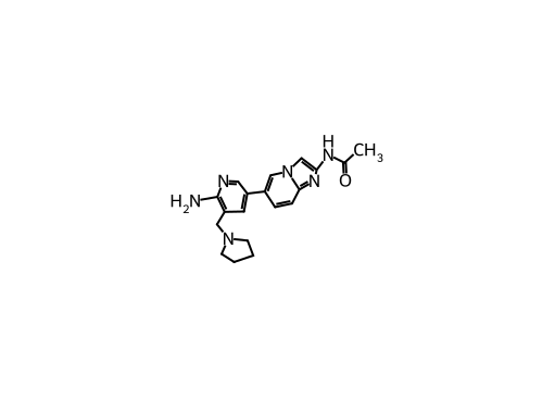 CC(=O)Nc1cn2cc(-c3cnc(N)c(CN4CCCC4)c3)ccc2n1